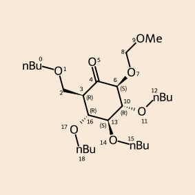 CCCCOC[C@H]1C(=O)[C@@H](OCOC)[C@H](OCCCC)[C@@H](OCCCC)[C@@H]1OCCCC